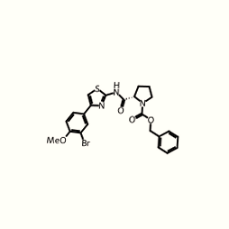 COc1ccc(-c2csc(NC(=O)[C@@H]3CCCN3C(=O)OCc3ccccc3)n2)cc1Br